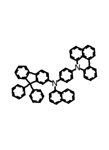 c1ccc(C2(c3ccccc3)c3ccccc3-c3ccc(N(c4ccc(N5c6ccccc6-c6cccc7cccc5c67)cc4)c4cccc5ccccc45)cc32)cc1